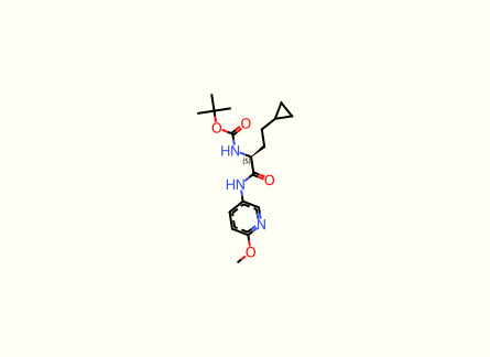 COc1ccc(NC(=O)[C@H](CCC2CC2)NC(=O)OC(C)(C)C)cn1